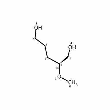 CO[C@H](CO)CCCO